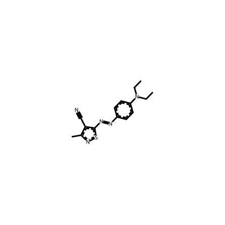 CCN(CC)c1ccc(/N=N/c2snc(C)c2C#N)cc1